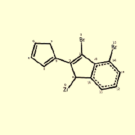 BrC1=C(C2=CC=CC2)[CH]([Zr])c2cccc(Br)c21